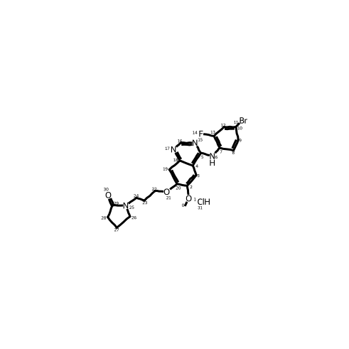 COc1cc2c(Nc3ccc(Br)cc3F)ncnc2cc1OCCCN1CCCC1=O.Cl